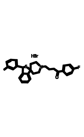 Br.Cc1cccc(C2SC3(CCN(CCCC(=O)c4ccc(F)cc4)CC3)c3ccccc32)c1